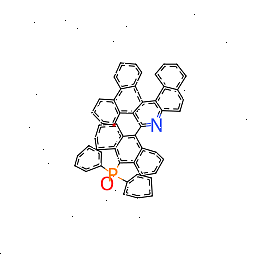 O=P(c1ccccc1)(c1ccccc1)c1c2ccccc2c(-c2nc3ccc4ccccc4c3c3c4ccccc4c4ccccc4c23)c2ccccc12